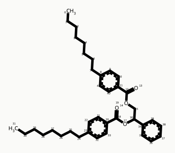 CCCCCCCCc1ccc(C(=O)OCC(OC(=O)c2ccc(CCCCCCCC)cc2)c2ccccc2)cc1